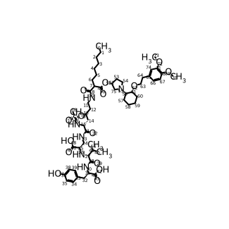 CCCCCCCC(C(=O)NCCCC[C@@H](NS(C)(=O)=O)C(=O)NC[C@@H](N[C@@H](C(=O)N[C@H](Cc1ccc(O)cc1)C(=O)O)C(C)C)C(=O)O)C(=O)O[C@@H]1CCN([C@@H]2CCCC[C@H]2OCCc2ccc(OC)c(OC)c2)C1